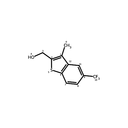 Cc1c(CO)sc2ccc(C(F)(F)F)cc12